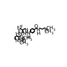 CN(C)CCCNC(=O)c1ccc(Nc2ncc(C(F)(F)F)c(NCc3cccnc3N(C)S(C)(=O)=O)n2)cc1